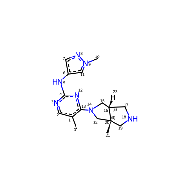 Cc1cnc(Nc2cnn(C)c2)nc1N1C[C@@H]2CNC[C@]2(C)C1